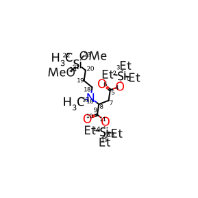 CC[Si](CC)(CC)OC(=O)CC(C(=O)O[Si](CC)(CC)CC)N(C)CCC[Si](C)(OC)OC